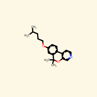 CC(C)CCCOc1ccc2c(c1)C(C)(C)Oc1cnccc1-2